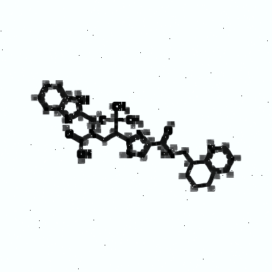 CC(C)(C)C(CN(Cc1nc2ccccc2[nH]1)C(=O)O)c1nc(C(=O)NCC2CCCc3cccnc32)cs1